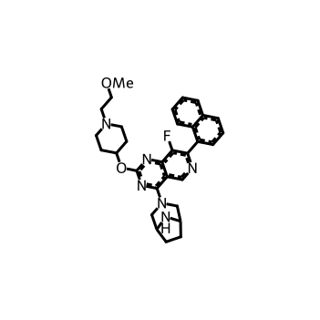 COCCN1CCC(Oc2nc(N3CC4CCC(C3)N4)c3cnc(-c4cccc5ccccc45)c(F)c3n2)CC1